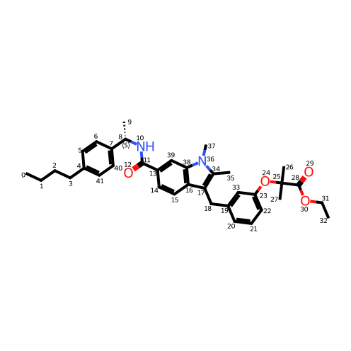 CCCCc1ccc([C@H](C)NC(=O)c2ccc3c(Cc4cccc(OC(C)(C)C(=O)OCC)c4)c(C)n(C)c3c2)cc1